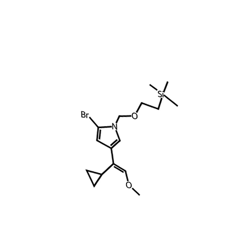 COC=C(c1cc(Br)n(COCC[Si](C)(C)C)c1)C1CC1